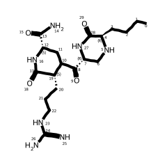 CCCC[C@H]1NC[C@H](C(=O)C2C[C@@H](C(N)=O)NC(=O)[C@H]2CCCNC(=N)N)NC1=O